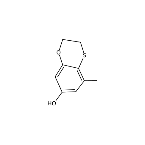 Cc1cc(O)cc2c1SCCO2